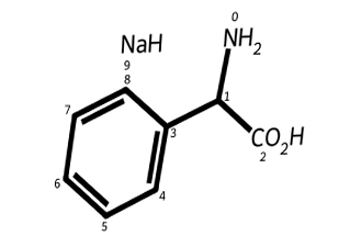 NC(C(=O)O)c1ccccc1.[NaH]